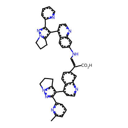 Cc1cccc(-c2nn3c(c2-c2ccnc4cc(C(=CNc5ccc6c(-c7c(-c8ccccn8)nn8c7CCC8)ccnc6c5)C(=O)O)ccc24)CCC3)n1